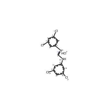 Cl.Clc1cc(Cl)cc(/N=C/Nc2cc(Cl)cc(Cl)c2)c1